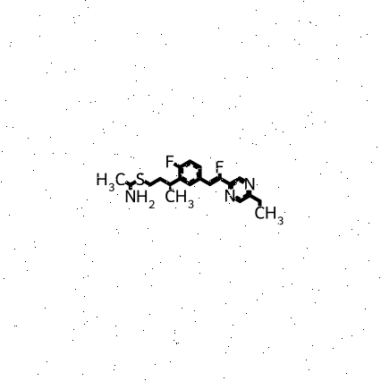 CCc1cnc(/C(F)=C/c2ccc(F)c([C@@H](C)CCSC(C)N)c2)cn1